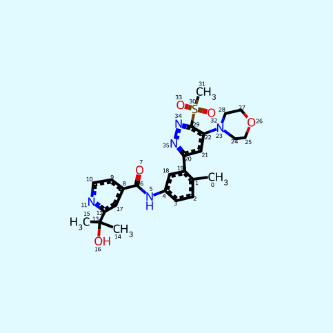 Cc1ccc(NC(=O)c2ccnc(C(C)(C)O)c2)cc1-c1cc(N2CCOCC2)c(S(C)(=O)=O)nn1